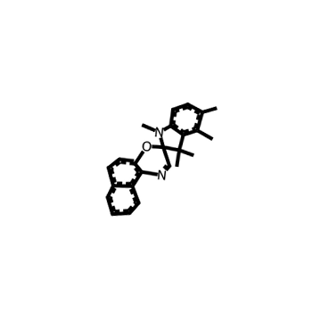 Cc1ccc2c(c1C)C(C)(C)C1(C=Nc3c(ccc4ccccc34)O1)N2C